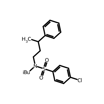 CCC(C)N(CCC(C)c1ccccc1)S(=O)(=O)c1ccc(Cl)cc1